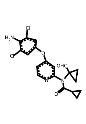 Nc1c(Cl)cc(Oc2ccnc(N(C(=O)C3CC3)C3(C=O)CC3)c2)cc1Cl